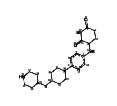 O=C1CCC(Nc2ccc(N3CCC(CN4CCNCC4)CC3)nc2)C(=O)N1